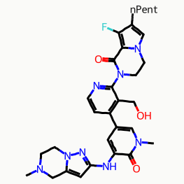 CCCCCc1cn2c(c1F)C(=O)N(c1nccc(-c3cc(Nc4cc5n(n4)CCN(C)C5)c(=O)n(C)c3)c1CO)CC2